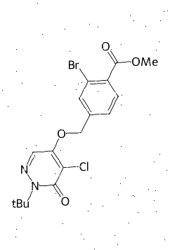 COC(=O)c1ccc(COc2cnn(C(C)(C)C)c(=O)c2Cl)cc1Br